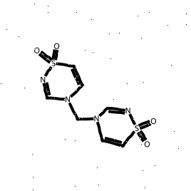 O=S1(=O)C=CN(CN2C=CS(=O)(=O)N=C2)C=N1